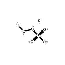 O=S(=O)(O)OO[O-].[K+]